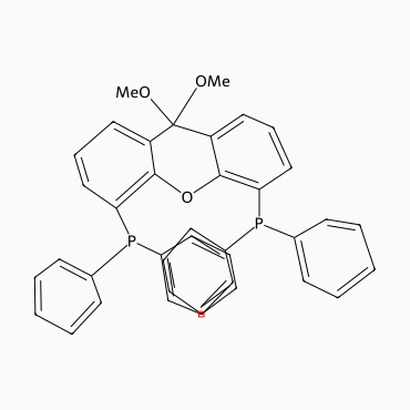 COC1(OC)c2cccc(P(c3ccccc3)c3ccccc3)c2Oc2c(P(c3ccccc3)c3ccccc3)cccc21